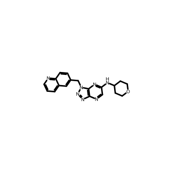 c1cnc2ccc(Cn3nnc4ncc(NC5CCOCC5)nc43)cc2c1